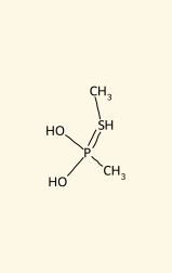 C[SH]=P(C)(O)O